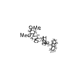 COc1ccc(-c2ccc([O])c(CCNC(=O)OCC3c4ccccc4-c4ccccc43)c2)c(OC)c1